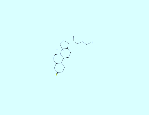 CC(C)CCCC(C)[C@H]1CC[C@H]2[C@@H]3CCC4CC(=S)CC[C@]4(C)[C@H]3CC[C@]12C